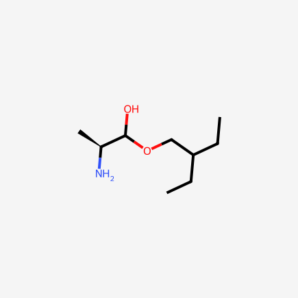 CCC(CC)COC(O)[C@H](C)N